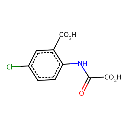 O=C(O)C(=O)Nc1ccc(Cl)cc1C(=O)O